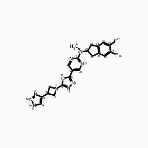 CN(c1ncc(-c2nnc(N3CC(c4c[nH]nn4)C3)o2)cn1)C1Cc2cc(F)c(F)cc2C1